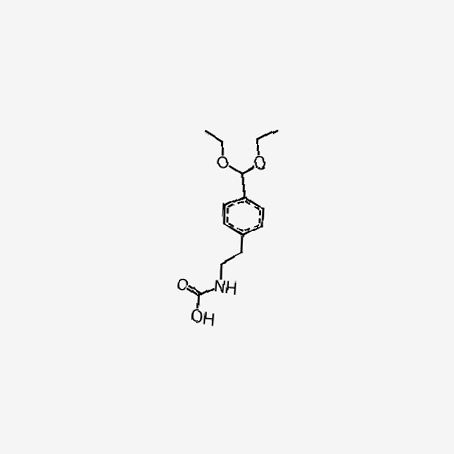 CCOC(OCC)c1ccc(CCNC(=O)O)cc1